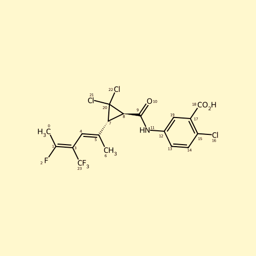 C/C(F)=C(\C=C(/C)[C@H]1[C@H](C(=O)Nc2ccc(Cl)c(C(=O)O)c2)C1(Cl)Cl)C(F)(F)F